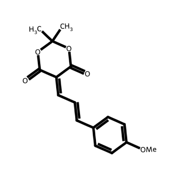 COc1ccc(/C=C/C=C2C(=O)OC(C)(C)OC2=O)cc1